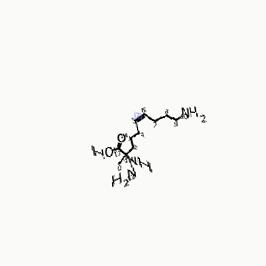 C[C@@](CCC/C=C\CCCN)(NN)C(=O)O